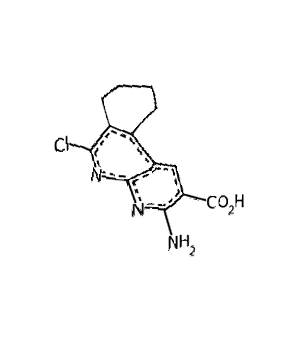 Nc1nc2nc(Cl)c3c(c2cc1C(=O)O)CCCC3